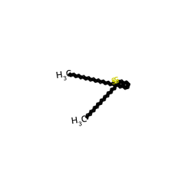 CCCCCCCCCCCCCCCCCCC1=C(CCCCCCCCCCCCCCCCCC)c2cc3ccccc3cc2SS1